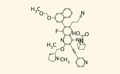 COCOc1cc(-c2c(CCC#N)cc3c(NC4C5CC4N(C(=O)O)C5)c(C#Cc4cccnc4)c(O[C@@H](C)[C@@H]4CCCN4C)nc3c2F)c2ccccc2c1